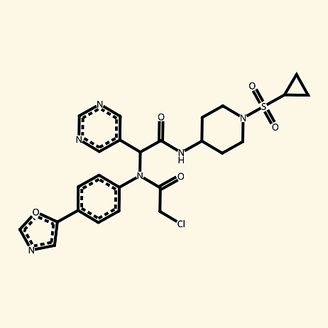 O=C(NC1CCN(S(=O)(=O)C2CC2)CC1)C(c1cncnc1)N(C(=O)CCl)c1ccc(-c2cnco2)cc1